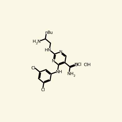 CCCCC(N)CNc1ncc(C(N)=O)c(Nc2cc(Cl)cc(Cl)c2)n1.Cl.Cl